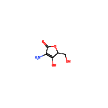 NC1=C(O)C(CO)OC1=O